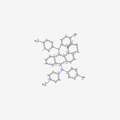 Cc1ccc(C(c2ccc(C(C)C)cc2)c2c3ccccc3c(N(c3ccc(C)cc3)c3ccc(C(C)C)cc3)c3ccc4ccccc4c23)cc1